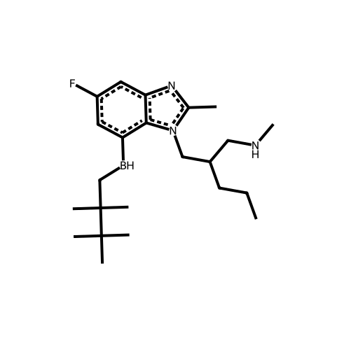 CCCC(CNC)Cn1c(C)nc2cc(F)cc(BCC(C)(C)C(C)(C)C)c21